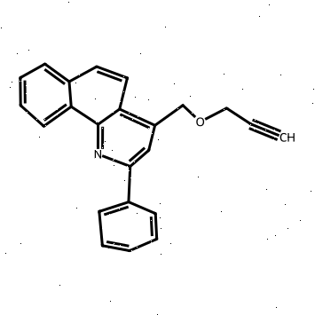 C#CCOCc1cc(-c2ccccc2)nc2c1ccc1ccccc12